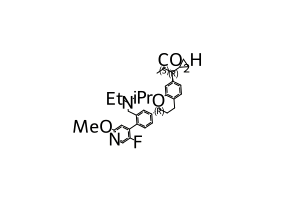 CCN(Cc1cc([C@H]2CCc3ccc([C@H](C4CC4)[C@H](C)C(=O)O)cc3O2)ccc1-c1cc(OC)ncc1F)C(C)C